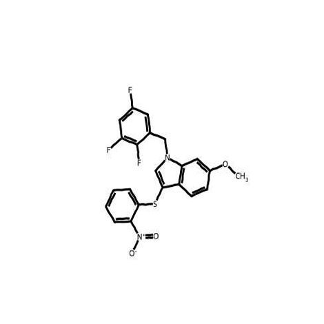 COc1ccc2c(Sc3ccccc3[N+](=O)[O-])cn(Cc3cc(F)cc(F)c3F)c2c1